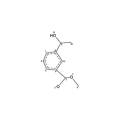 COC([O])c1cccc(C(C)O)c1